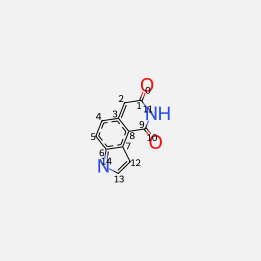 O=C1C=c2ccc3c(c2C(=O)N1)C=CN=3